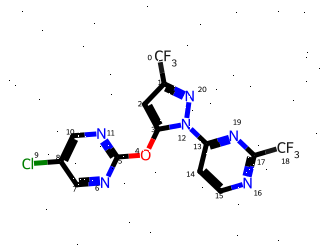 FC(F)(F)c1cc(Oc2ncc(Cl)cn2)n(-c2ccnc(C(F)(F)F)n2)n1